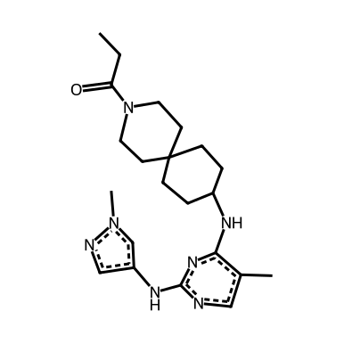 CCC(=O)N1CCC2(CCC(Nc3nc(Nc4cnn(C)c4)ncc3C)CC2)CC1